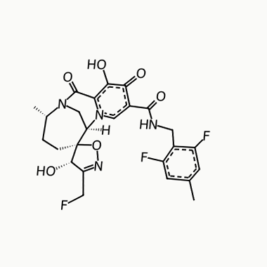 Cc1cc(F)c(CNC(=O)c2cn3c(c(O)c2=O)C(=O)N2C[C@@H]3[C@@]3(CC[C@@H]2C)ON=C(CF)[C@@H]3O)c(F)c1